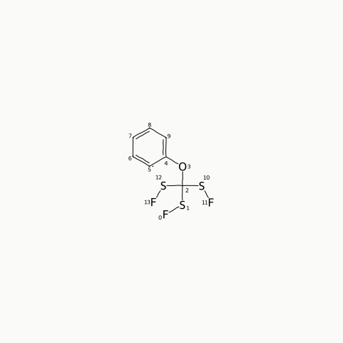 FSC(Oc1[c]cccc1)(SF)SF